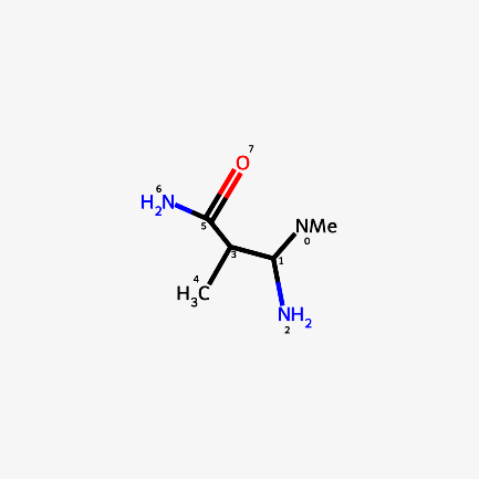 CNC(N)C(C)C(N)=O